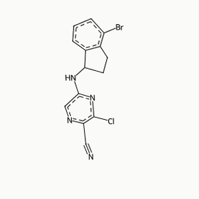 N#Cc1ncc(NC2CCc3c(Br)cccc32)nc1Cl